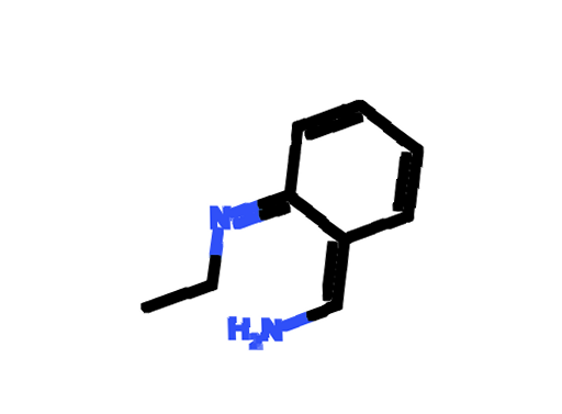 CC/N=C1/C=CC=C/C1=C/N